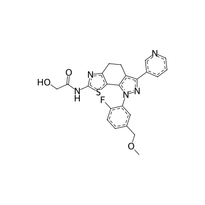 COCc1ccc(F)c(-n2nc(-c3cccnc3)c3c2-c2sc(NC(=O)CO)nc2CC3)c1